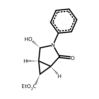 CCOC(=O)[C@H]1[C@@H]2C(=O)N(c3ccccc3)[C@@H](O)[C@H]12